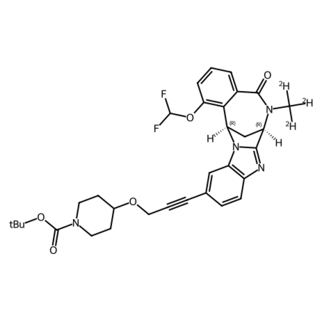 [2H]C([2H])([2H])N1C(=O)c2cccc(OC(F)F)c2[C@H]2C[C@@H]1c1nc3ccc(C#CCOC4CCN(C(=O)OC(C)(C)C)CC4)cc3n12